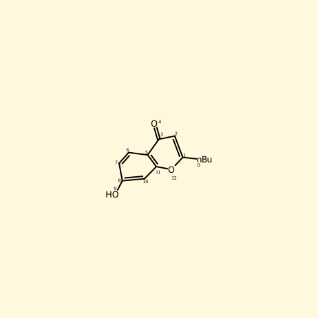 CCCCc1cc(=O)c2ccc(O)cc2o1